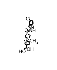 Cc1cc([C@H](O)CO)cnc1N1CCN(C(=O)Nc2nc3ccc(Cl)cc3s2)CC1